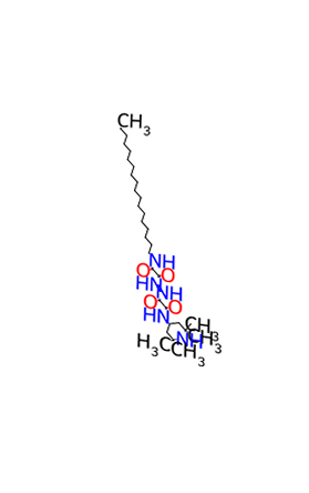 CCCCCCCCCCCCCCCCCCNC(=O)C(=O)NNC(=O)C(=O)NC1CC(C)(C)NC(C)(C)C1